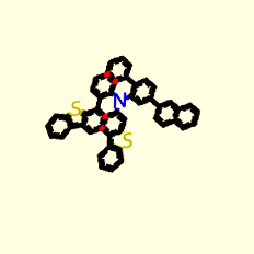 c1ccc(-c2ccc(-c3ccc4ccccc4c3)cc2N(c2ccc3c(c2)sc2ccccc23)c2ccccc2-c2cccc3c2sc2ccccc23)cc1